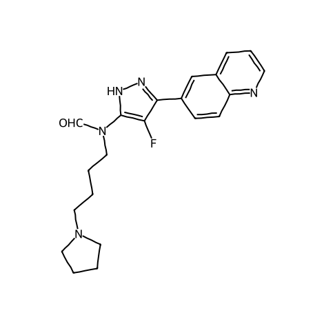 O=CN(CCCCN1CCCC1)c1[nH]nc(-c2ccc3ncccc3c2)c1F